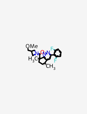 COCC1CN(C(=O)[C@@]2(C)CC[C@H](C)c3cc(-c4c(F)cccc4F)nnc32)C1